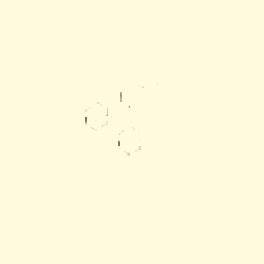 CCOc1ccc(N(CC(=O)N(C)C)C(=O)c2ccccc2)cc1